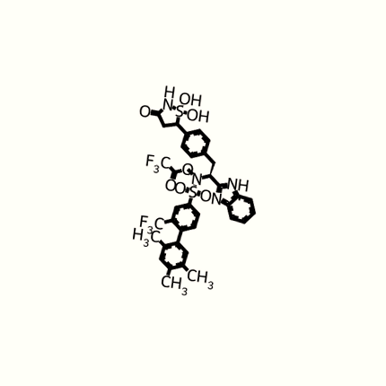 Cc1cc(C)c(-c2ccc(S(=O)(=O)N(OC(=O)C(F)(F)F)[C@@H](Cc3ccc(C4CC(=O)NS4(O)O)cc3)c3nc4ccccc4[nH]3)cc2C(F)(F)F)cc1C